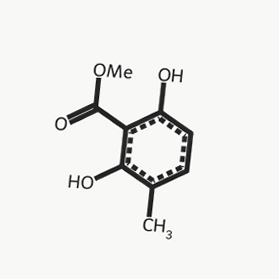 COC(=O)c1c(O)ccc(C)c1O